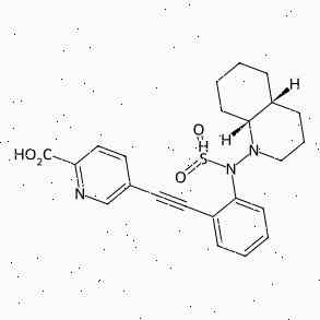 O=C(O)c1ccc(C#Cc2ccccc2N(N2CCC[C@H]3CCCC[C@H]32)[SH](=O)=O)cn1